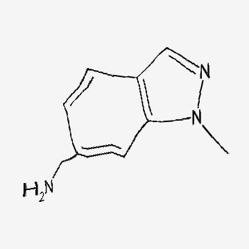 Cn1ncc2ccc(N)cc21